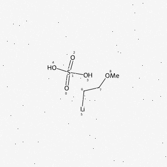 O=S(=O)(O)O.[Li][CH2]COC